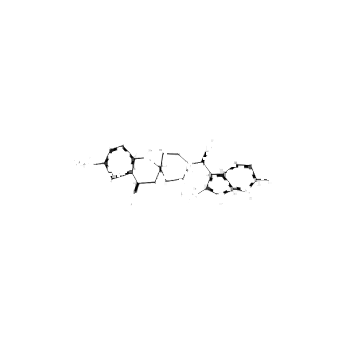 COc1ccc2c(c1)C(=O)CC1(CCN(C(=O)c3c(N)sc4nc(C)ccc34)CC1)S2